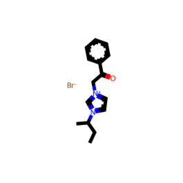 CCC(C)n1cc[n+](CC(=O)c2ccccc2)c1.[Br-]